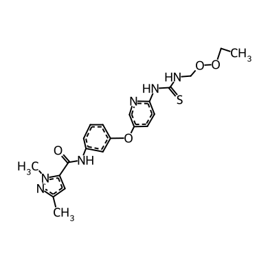 CCOOCNC(=S)Nc1ccc(Oc2cccc(NC(=O)c3cc(C)nn3C)c2)cn1